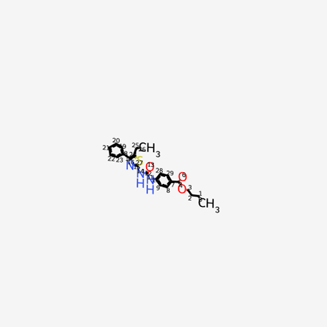 CCCCOC(=O)c1ccc(NC(=O)Nc2nc(-c3ccccc3)c(CC)s2)cc1